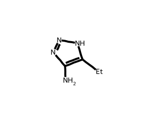 CCc1[nH]nnc1N